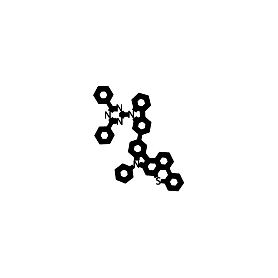 c1ccc(-c2nc(-c3ccccc3)nc(-n3c4ccccc4c4ccc(-c5ccc6c(c5)c5c7cccc8c7c(cc5n6-c5ccccc5)Sc5ccccc5-8)cc43)n2)cc1